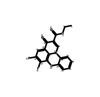 CCOC(=O)c1cn2c3c(c(F)c(F)cc3c1=O)Oc1ccccc1-2